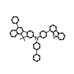 CC1(C)c2cc(N(c3ccc(-c4ccccc4)cc3)c3ccc(-c4cccc5c4sc4ccccc45)cc3)ccc2-c2cc(-c3ccccc3)c3ccccc3c21